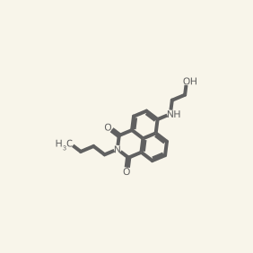 CCCCN1C(=O)c2cccc3c(NCCO)ccc(c23)C1=O